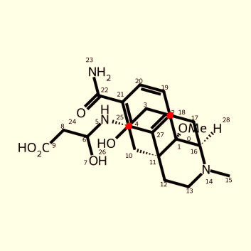 CO[C@@]12CC[C@@H](NC(O)CC(=O)O)C[C@@]13CCN(C)[C@@H]2Cc1ccc(C(N)=O)c(O)c13